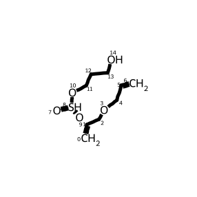 C=CCOCC=C.O=[SH](=O)OCCCO